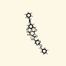 C[C@@]1(C(=O)Nc2cnc(OCc3ccccc3)nc2)CC(=O)N(c2c(F)cc(C#Cc3ccccc3)cc2F)C(=O)N1